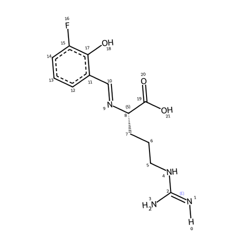 [H]/N=C(\N)NCCC[C@H](N=Cc1cccc(F)c1O)C(=O)O